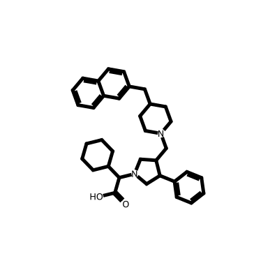 O=C(O)C(C1CCCCC1)N1CC(CN2CCC(Cc3ccc4ccccc4c3)CC2)C(c2ccccc2)C1